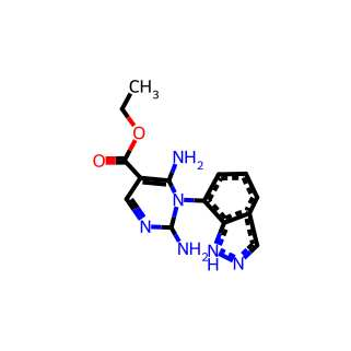 CCOC(=O)C1=C(N)N(c2cccc3cn[nH]c23)C(N)N=C1